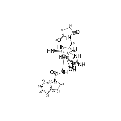 N=C1N[C@H]2[C@H](CN3C(=O)CCC3=O)NC(=N)N3CC(NC(=O)N4CCc5ccccc54)C(O)(O)[C@]23N1